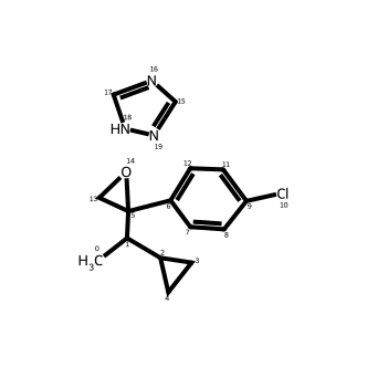 CC(C1CC1)C1(c2ccc(Cl)cc2)CO1.c1nc[nH]n1